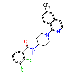 O=C(NC1CCN(c2nccc3cc(C(F)(F)F)ccc23)CC1)c1cccc(Cl)c1Cl